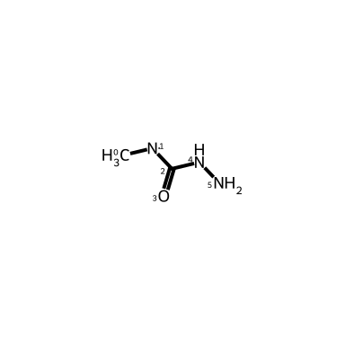 C[N]C(=O)NN